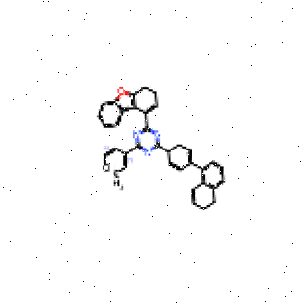 C/C=C\C(=C/C)c1nc(C2=CCCc3oc4ccccc4c32)nc(C2C=CC(c3cccc4c3C=CCC4)=CC2)n1